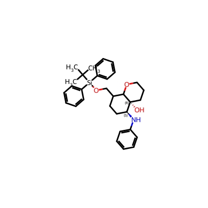 CC(C)(C)[Si](OCC1CC[C@H](Nc2ccccc2)[C@]2(O)CCCOC12)(c1ccccc1)c1ccccc1